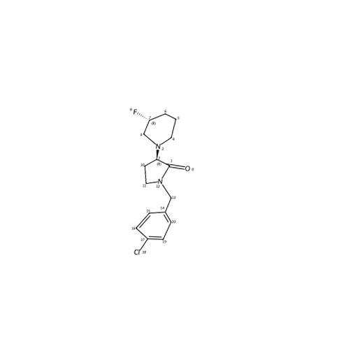 O=C1[C@H](N2CCC[C@@H](F)C2)CCN1Cc1ccc(Cl)cc1